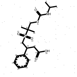 CC(C)NC(=O)OCC(C)(C)S(=O)(=O)CC(CC(=O)O)c1ccccc1